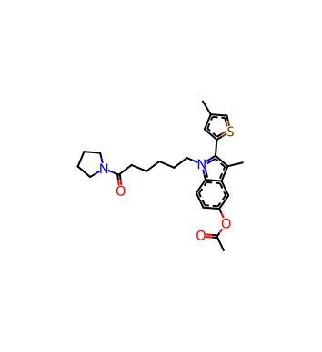 CC(=O)Oc1ccc2c(c1)c(C)c(-c1cc(C)cs1)n2CCCCCC(=O)N1CCCC1